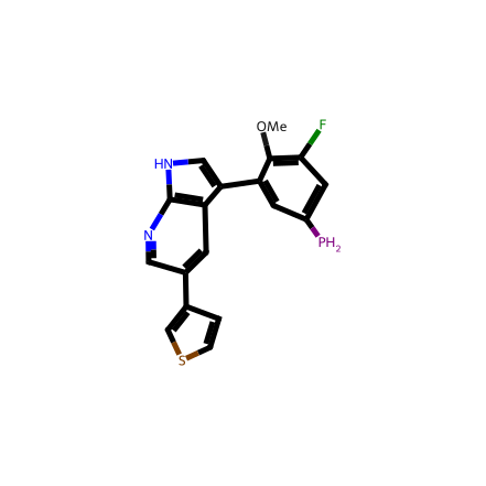 COc1c(F)cc(P)cc1-c1c[nH]c2ncc(-c3ccsc3)cc12